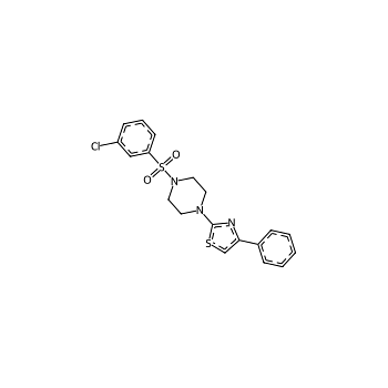 O=S(=O)(c1cccc(Cl)c1)N1CCN(c2nc(-c3ccccc3)cs2)CC1